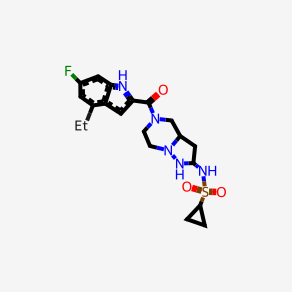 CCc1cc(F)cc2[nH]c(C(=O)N3CCN4NC(NS(=O)(=O)C5CC5)CC4C3)cc12